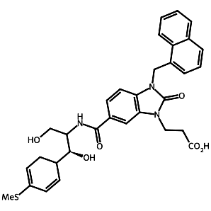 CSC1=CCC([C@H](O)C(CO)NC(=O)c2ccc3c(c2)n(CCC(=O)O)c(=O)n3Cc2cccc3ccccc23)C=C1